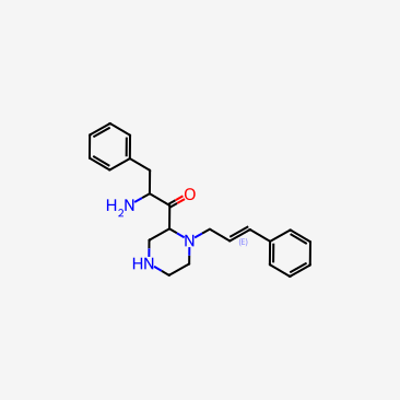 NC(Cc1ccccc1)C(=O)C1CNCCN1C/C=C/c1ccccc1